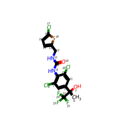 CC(O)(c1cc(Cl)c(NC(=O)NCc2ccc(Cl)s2)c(Cl)c1)C(F)(F)F